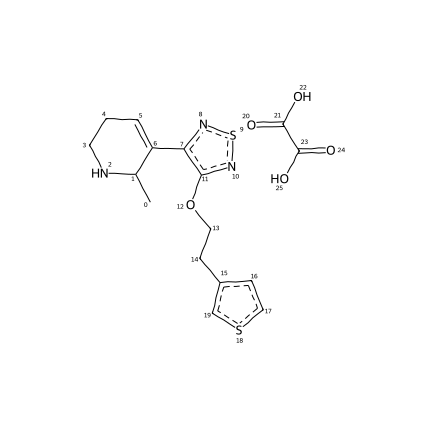 CC1NCCC=C1c1nsnc1OCCc1ccsc1.O=C(O)C(=O)O